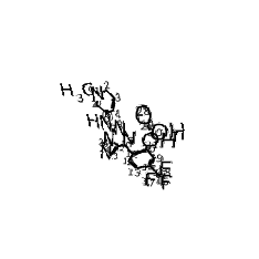 CN1CC=C[C@@H](Nc2nnc(-c3ccc(C(F)(F)F)cc3O)c3cncn23)C1.O=CO